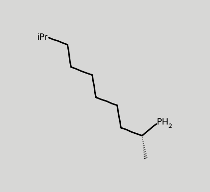 CC(C)CCCCCC[C@@H](C)P